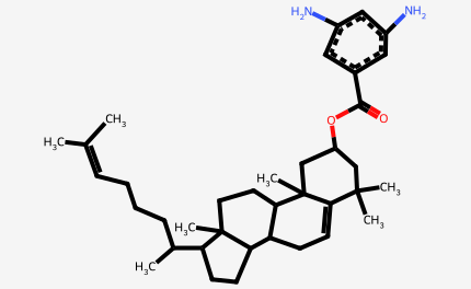 CC(C)=CCCCC(C)C1CCC2C3CC=C4C(C)(C)CC(OC(=O)c5cc(N)cc(N)c5)CC4(C)C3CCC12C